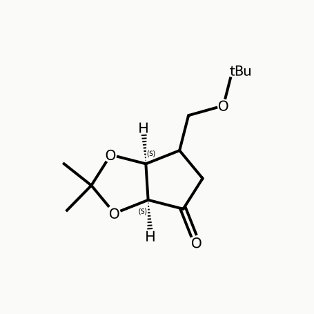 CC(C)(C)OCC1CC(=O)[C@H]2OC(C)(C)O[C@@H]12